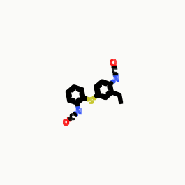 CCc1cc(Sc2ccccc2N=C=O)ccc1N=C=O